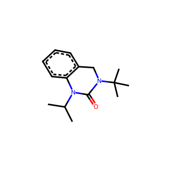 CC(C)N1C(=O)N(C(C)(C)C)Cc2ccccc21